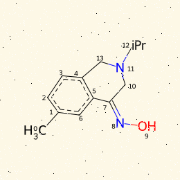 Cc1ccc2c(c1)/C(=N/O)CN(C(C)C)C2